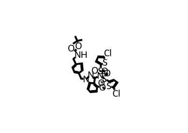 COc1cccc2c1c(N(S(=O)(=O)c1ccc(Cl)s1)S(=O)(=O)c1ccc(Cl)s1)nn2Cc1ccc(CNC(=O)OC(C)(C)C)cc1